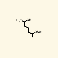 CCC(CCCC(C)O)OC